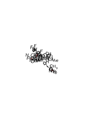 COC(=O)NC(C(=O)N[C@@H](Cc1ccc(C#Cc2cnc(N3CC4CCC(C3)N4C3COC3)cc2C)cc1)[C@@H](O)CN(Cc1c(F)cc(-c2ccn(C(F)F)n2)cc1F)NC(=O)[C@@H](NC(=O)OC)C(C)(C)C(F)(F)F)C(C)(C)C(F)(F)F